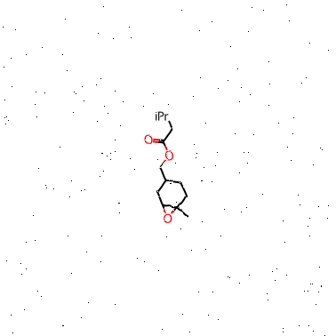 CC(C)CC(=O)OCC1CCC2(C)OC2C1